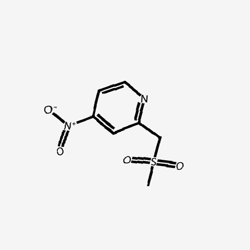 CS(=O)(=O)Cc1cc([N+](=O)[O-])ccn1